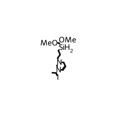 COC(OC)[SiH2]CCCN1CC=CN(C(C)I)C1